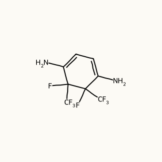 NC1=CC=C(N)C(F)(C(F)(F)F)C1(F)C(F)(F)F